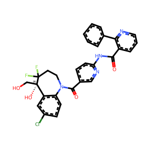 O=C(Nc1ccc(C(=O)N2CCC(F)(F)[C@](O)(CO)c3cc(Cl)ccc32)cn1)c1cccnc1-c1ccccc1